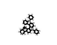 c1ccc(-n2c3ccccc3c3c4c5c(ccc6c7cnccc7c7nccn7c65)n(-c5ccccc5)c4ccc32)cc1